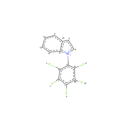 Fc1c(F)c(F)c(-n2ccc3ccccc32)c(F)c1F